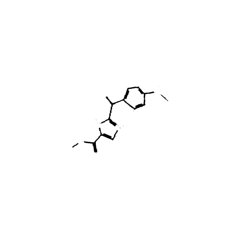 COC(=O)c1cnc(C(C)c2ccc(OC)cc2)[nH]1